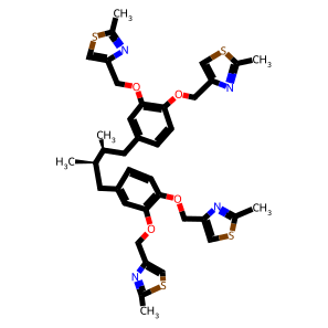 Cc1nc(COc2ccc(C[C@@H](C)[C@@H](C)Cc3ccc(OCc4csc(C)n4)c(OCc4csc(C)n4)c3)cc2OCc2csc(C)n2)cs1